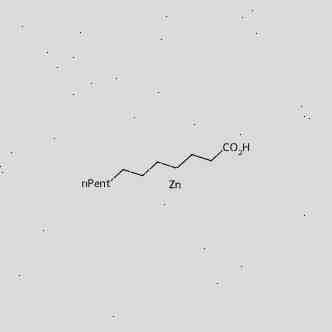 CCCCCCCCCCCC(=O)O.[Zn]